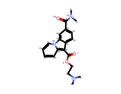 CN(C)CCOC(=O)c1c2ccc(C(=O)N(C)C)cc2n2ccccc12